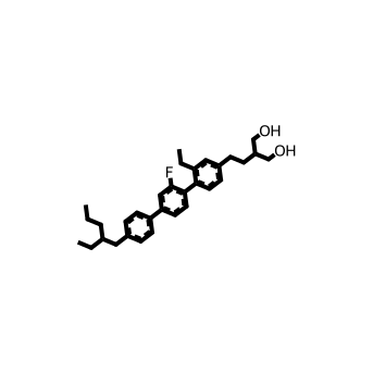 CCCC(CC)Cc1ccc(-c2ccc(-c3ccc(CCC(CO)CO)cc3CC)c(F)c2)cc1